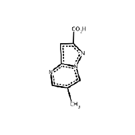 Cc1cnc2cc(C(=O)O)nn2c1